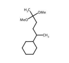 COC(C)(CCC(C)C1CCCCC1)OC